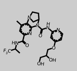 Cc1cc(C(=O)NC(C)C(F)(F)F)nc2c1N1CCC(C1)N2C(=O)Nc1cc(OCC(O)CO)ccn1